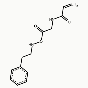 C=CC(=O)NCC(=O)ONCCc1ccccc1